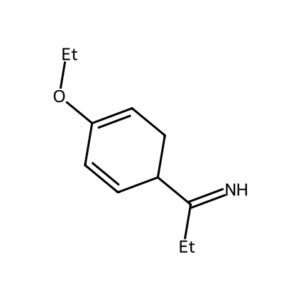 CCOC1=CCC(C(=N)CC)C=C1